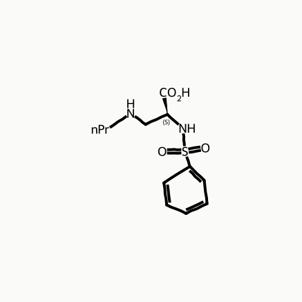 CCCNC[C@H](NS(=O)(=O)c1ccccc1)C(=O)O